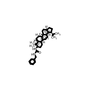 C=C(C)[C@@H]1CC[C@@H]2CC[C@]3(C)[C@H](CC[C@@H]4[C@@]5(C)CCC(NC(=O)NCc6ccccc6)C(C)(C)[C@@H]5CC[C@]43C)[C@H]21